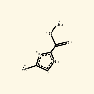 CC(=O)c1cnc(C(=O)OC(C)(C)C)s1